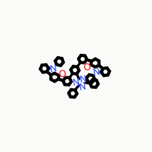 c1ccc(-c2nc(-c3ccccc3)nc(-c3cc(-c4cccc5c4oc4c5ccc5c6ccccc6n(-c6ccccc6)c54)ccc3-c3cccc4c3oc3c4ccc4c5ccccc5n(-c5ccccc5)c43)n2)cc1